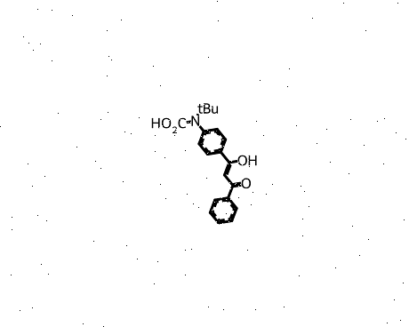 CC(C)(C)N(C(=O)O)c1ccc(C(O)=CC(=O)c2ccccc2)cc1